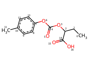 CCC(OC(=O)Oc1ccc(C)cc1)C(=O)O